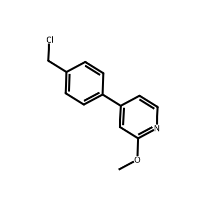 COc1cc(-c2ccc(CCl)cc2)ccn1